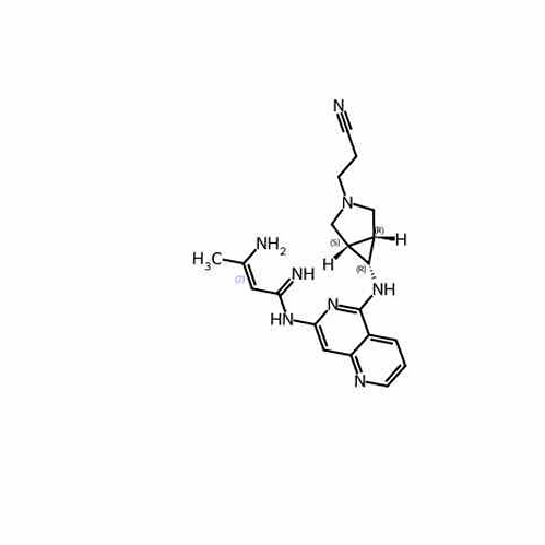 C/C(N)=C/C(=N)Nc1cc2ncccc2c(N[C@@H]2[C@@H]3CN(CCC#N)C[C@@H]32)n1